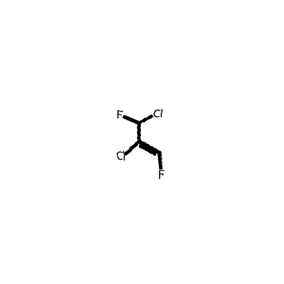 FC=C(Cl)C(F)Cl